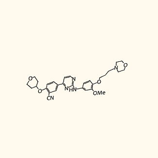 COc1cc(Nc2nccc(-c3ccc(OC4CCOCC4)c(C#N)c3)n2)ccc1OCCCN1CCOCC1